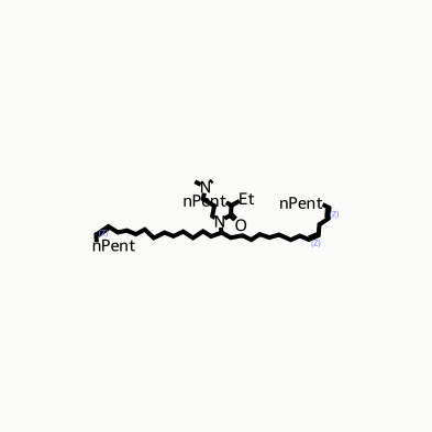 CCCCC/C=C\C/C=C\CCCCCCCCC(CCCCCCCCCCC/C=C\CCCCC)N(CCCN(C)C)C(=O)C(CC)CCCCC